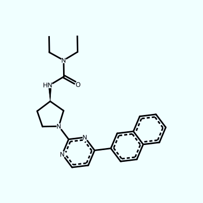 CCN(CC)C(=O)N[C@@H]1CCN(c2nccc(-c3ccc4ccccc4c3)n2)C1